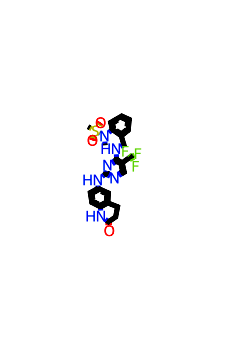 CN(c1ccccc1CNc1nc(Nc2ccc3c(c2)CCC(=O)N3)ncc1C(F)(F)F)S(C)(=O)=O